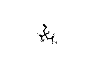 C=CCC(F)(CC(O)=S)C(O)=S